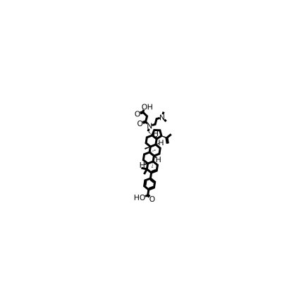 C=C(C)[C@@H]1CC[C@]2(CN(CCN(C)C)C(=O)CC(=O)O)CC[C@]3(C)[C@H](CC[C@@H]4[C@@]5(C)CC=C(c6ccc(C(=O)O)cc6)C(C)(C)[C@@H]5CC[C@]43C)[C@@H]12